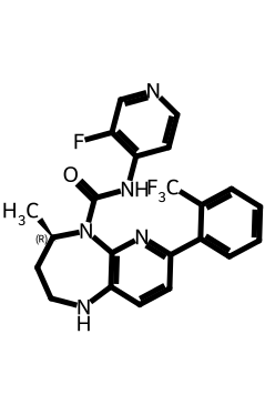 C[C@@H]1CCNc2ccc(-c3ccccc3C(F)(F)F)nc2N1C(=O)Nc1ccncc1F